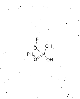 O=P(O)(O)OF.P